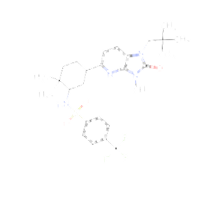 Cn1c(=O)n(CC(C)(C)C)c2ccc(C3CCC(C)(C)C(NS(=O)(=O)c4ccc(C(F)(F)F)cc4)C3)nc21